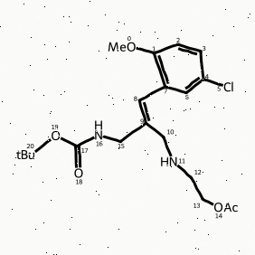 COc1ccc(Cl)cc1/C=C(\CNCCOC(C)=O)CNC(=O)OC(C)(C)C